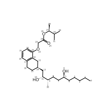 CCCCC[C@H](O)CC[C@H](C)[C@H](O)C[C@H]1CCc2cccc(OCC(=O)O[C@@H](C)C(C)C)c2C1